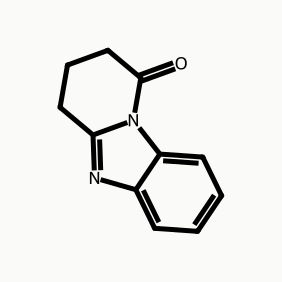 O=C1CCCc2nc3ccccc3n21